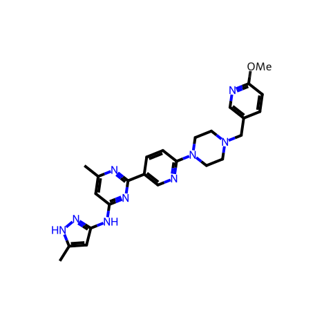 COc1ccc(CN2CCN(c3ccc(-c4nc(C)cc(Nc5cc(C)[nH]n5)n4)cn3)CC2)cn1